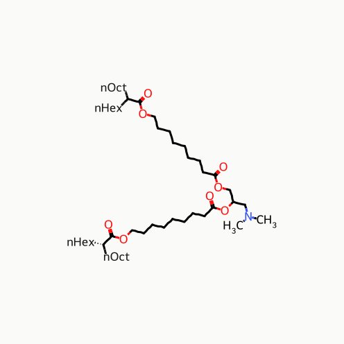 CCCCCCCCC(CCCCCC)C(=O)OCCCCCCCCC(=O)OCC(CN(C)C)OC(=O)CCCCCCCCOC(=O)[C@@H](CCCCCC)CCCCCCCC